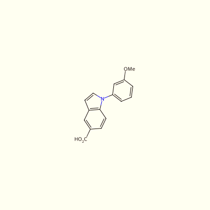 COc1cccc(-n2ccc3cc(C(=O)O)ccc32)c1